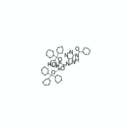 O=C(Nc1ncnc2c1ncn2[C@@H]1O[C@H](COC(c2ccccc2)(c2ccccc2)c2ccccc2)[C@@H](O)[C@H]1OC(c1ccccc1)(c1ccccc1)c1ccccc1)c1ccccc1